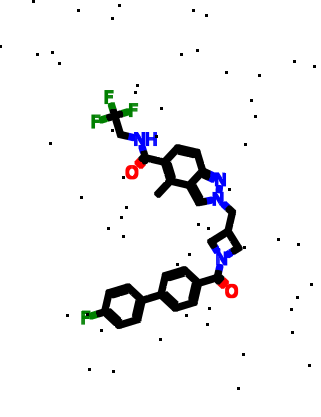 Cc1c(C(=O)NCC(F)(F)F)ccc2nn(CC3CN(C(=O)c4ccc(-c5ccc(F)cc5)cc4)C3)cc12